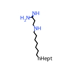 CCCCCCCCCCCCCCNCCC(=N)N